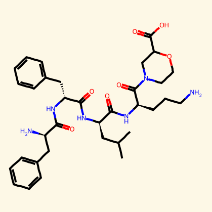 CC(C)C[C@@H](NC(=O)[C@@H](Cc1ccccc1)NC(=O)[C@H](N)Cc1ccccc1)C(=O)N[C@H](CCCN)C(=O)N1CCOC(C(=O)O)C1